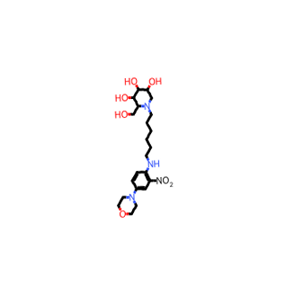 O=[N+]([O-])c1cc(N2CCOCC2)ccc1NCCCCCCN1CC(O)C(O)C(O)C1CO